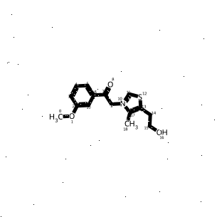 COc1cccc(C(=O)C[n+]2csc(CCO)c2C)c1